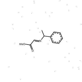 COC(=O)C=NC(C)c1ccccc1